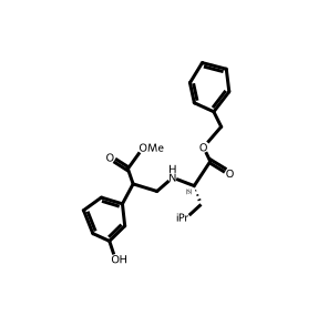 COC(=O)C(CN[C@@H](CC(C)C)C(=O)OCc1ccccc1)c1cccc(O)c1